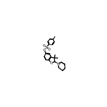 Cc1ccc(S(=O)(=O)Oc2ccc3c(c2)C(C)(C)C(N2CCCCC2)O3)cc1